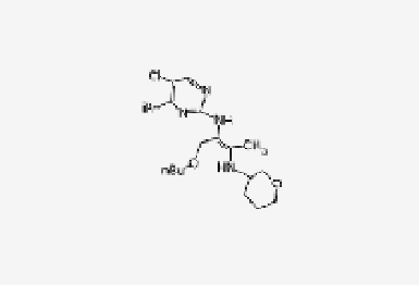 CCCCOC/C(Nc1ncc(Cl)c(C(C)C)n1)=C(/C)NC1CCCOC1